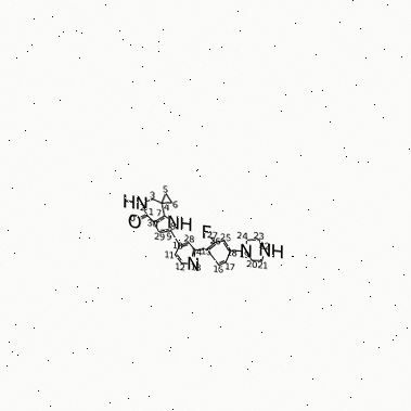 O=C1NCC2(CC2)c2[nH]c(-c3ccnc(-c4ccc(N5CCNCC5)cc4F)c3)cc21